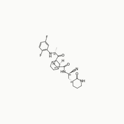 C[C@@H](Nc1cc(F)ccc1F)C(=O)N1C2CCC(CC2)[C@@H]1C(=O)N[C@@H](C#N)C[C@H]1CCCNC1=O